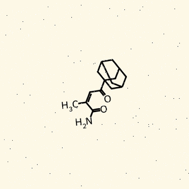 CC(=CC(=O)C12CC3CC(CC(C3)C1)C2)C(N)=O